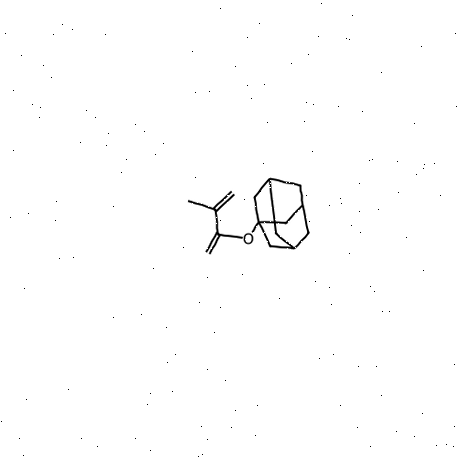 C=C(C)C(=C)OC12CC3CC(CC(C3)C1)C2